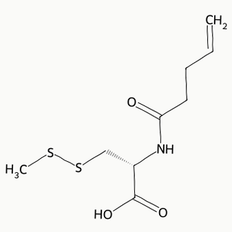 C=CCCC(=O)N[C@@H](CSSC)C(=O)O